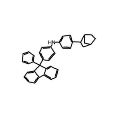 c1ccc(C2(c3ccc(Nc4ccc(C5CC6CCC5C6)cc4)cc3)c3ccccc3-c3ccccc32)cc1